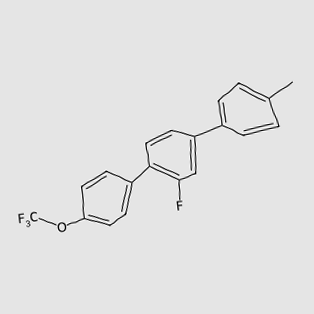 Cc1ccc(-c2ccc(-c3ccc(OC(F)(F)F)cc3)c(F)c2)cc1